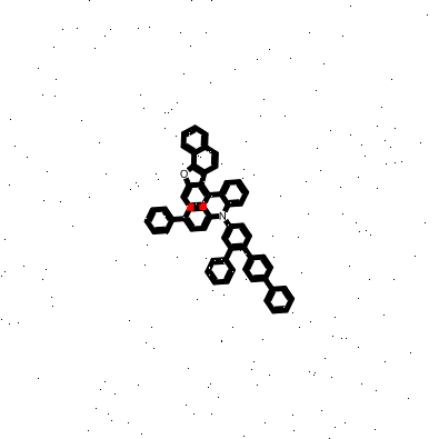 c1ccc(-c2ccc(-c3ccc(N(c4ccc(-c5ccccc5)cc4)c4ccccc4-c4cccc5oc6c7ccccc7ccc6c45)cc3-c3ccccc3)cc2)cc1